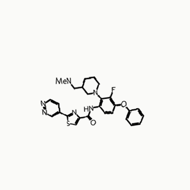 CNCC1CCCN(c2c(NC(=O)c3csc(-c4ccnnc4)n3)ccc(Oc3ccccc3)c2F)C1